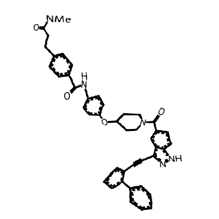 CNC(=O)CCc1ccc(C(=O)Nc2ccc(OC3CCN(C(=O)c4ccc5[nH]nc(C#Cc6ccccc6-c6ccccc6)c5c4)CC3)cc2)cc1